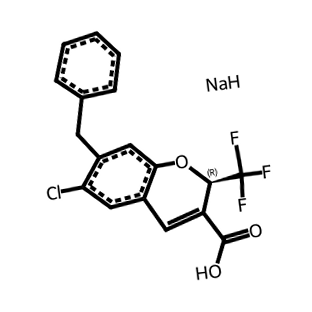 O=C(O)C1=Cc2cc(Cl)c(Cc3ccccc3)cc2O[C@H]1C(F)(F)F.[NaH]